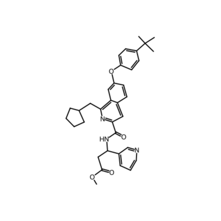 COC(=O)CC(NC(=O)c1cc2ccc(Oc3ccc(C(C)(C)C)cc3)cc2c(CC2CCCC2)n1)c1cccnc1